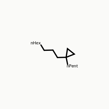 CCC[CH]CC1(CCCCCCCCC)CC1